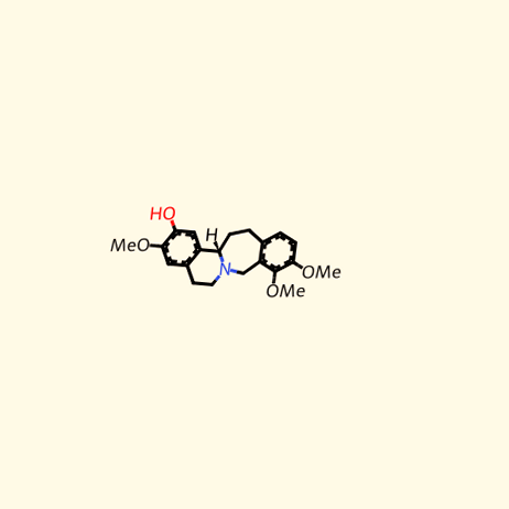 COc1cc2c(cc1O)[C@@H]1CCc3ccc(OC)c(OC)c3CN1CC2